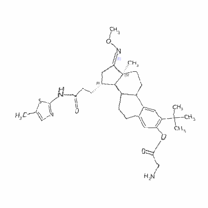 CO/N=C1\C[C@@H](CCC(=O)Nc2ncc(C)s2)C2C3CCc4cc(OC(=O)CN)c(C(C)(C)C)cc4C3CC[C@]12C